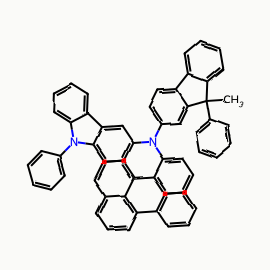 CC1(c2ccccc2)c2ccccc2-c2ccc(N(c3ccc4c(c3)c3ccccc3n4-c3ccccc3)c3ccccc3-c3cccc4cccc(-c5ccccc5)c34)cc21